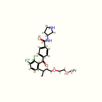 CCCOCCOCCC(C)c1ccc(F)c(F)c1C(=O)c1ccc(C(=O)N[C@H]2CCNC2)cc1